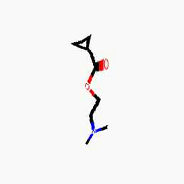 CN(C)CCOC(=O)C1CC1